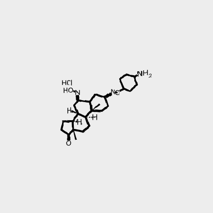 C[C@]12CC/C(=N\OC3CCC(N)CC3)CC1/C(=N/O)C[C@@H]1[C@@H]2CC[C@]2(C)C(=O)CC[C@@H]12.Cl